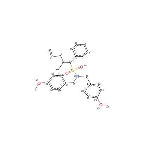 C=CCC(C)C(c1ccccc1)S(=O)(=O)N(Cc1ccc(OC)cc1)Cc1ccc(OC)cc1